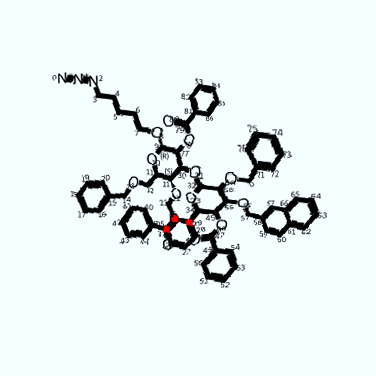 [N-]=[N+]=NCCCCCO[C@@H]1OC(COCc2ccccc2)[C@H](OCc2ccccc2)C(OC2OC(COC(=O)c3ccccc3)C(OC(=O)c3ccccc3)C(OCc3ccc4ccccc4c3)C2OCc2ccccc2)C1OC(=O)c1ccccc1